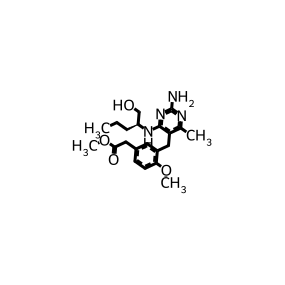 CCC[C@@H](CO)Nc1nc(N)nc(C)c1Cc1cc(CC(=O)OC)ccc1OC